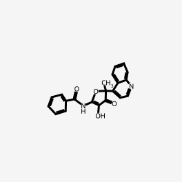 CC1(c2ccnc3ccccc23)OC(NC(=O)c2ccccc2)=C(O)C1=O